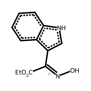 CCOC(=O)/C(=N/O)c1c[nH]c2ccccc12